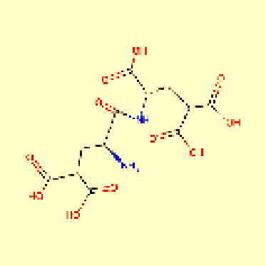 N[C@@H](CC(C(=O)O)C(=O)O)C(=O)N[C@@H](CC(C(=O)O)C(=O)O)C(=O)O